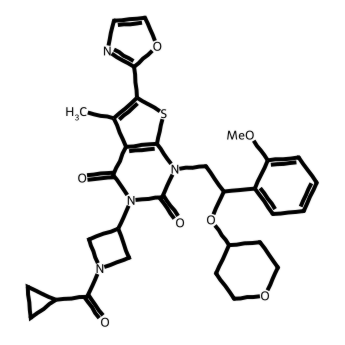 COc1ccccc1C(Cn1c(=O)n(C2CN(C(=O)C3CC3)C2)c(=O)c2c(C)c(-c3ncco3)sc21)OC1CCOCC1